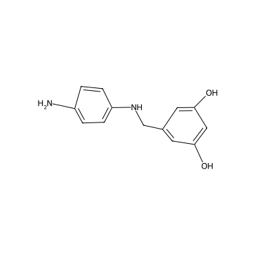 Nc1ccc(NCc2cc(O)cc(O)c2)cc1